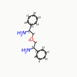 NC(COCC(N)c1ccccc1)c1ccccc1